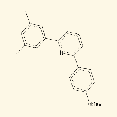 CCCCCCc1ccc(-c2cccc(-c3cc(C)cc(C)c3)n2)cc1